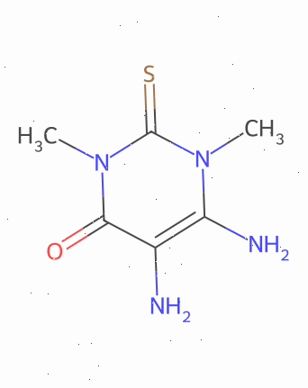 Cn1c(N)c(N)c(=O)n(C)c1=S